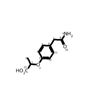 CC(Oc1ccc(CC(N)=O)cc1)C(=O)O